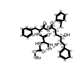 CC(C)CC(NC(=O)OC(C)(C)C)C(=O)NC(Cc1ccccc1)C(=O)NC(=O)[C@H](Cc1ccccc1)C[C@H](O)[C@@H](N)Cc1ccccc1